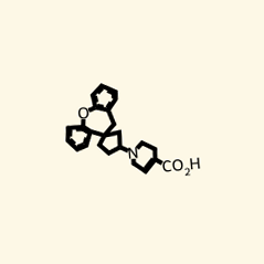 O=C(O)C1=CCN(C2CCC3(Cc4ccccc4Oc4ccccc43)C2)CC1